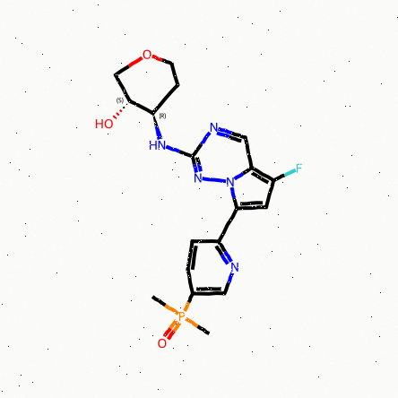 CP(C)(=O)c1ccc(-c2cc(F)c3cnc(N[C@@H]4CCOC[C@H]4O)nn23)nc1